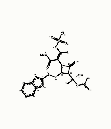 COC(=O)/C(=C(/C)OS(=O)(=O)C(F)(F)F)N1C(=O)C([C@](C)(O[SiH](C)C)C(C)(C)C)C1SSc1nc2ccccc2s1